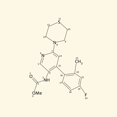 COC(=O)Nc1cnc(N2CCSCC2)cc1-c1ccc(F)cc1C